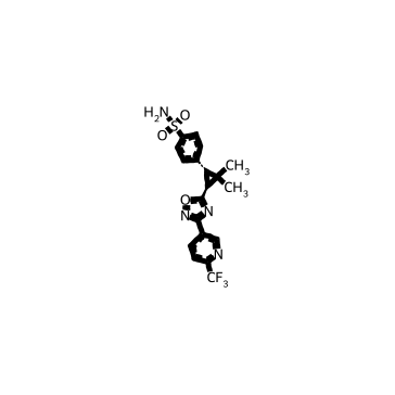 CC1(C)[C@@H](c2ccc(S(N)(=O)=O)cc2)[C@@H]1c1nc(-c2ccc(C(F)(F)F)nc2)no1